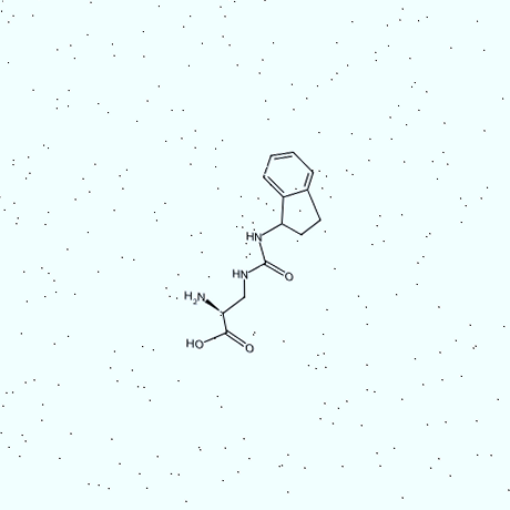 N[C@@H](CNC(=O)NC1CCc2ccccc21)C(=O)O